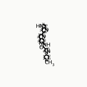 CN1CCC(n2cc(C(=O)Nc3cc4nc(-c5cnc6cc[nH]c6c5)ccc4cn3)cn2)CC1